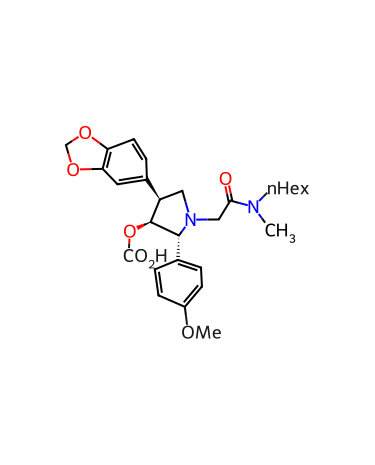 CCCCCCN(C)C(=O)CN1C[C@H](c2ccc3c(c2)OCO3)[C@H](OC(=O)O)[C@H]1c1ccc(OC)cc1